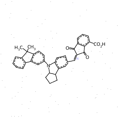 CC1(C)c2ccccc2-c2cc(N3c4ccc(/C=C5\C(=O)c6cccc(C(=O)O)c6C5=O)cc4C4CCCC43)ccc21